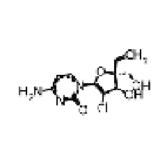 C=C[C@]1(CO)OC(n2ccc(N)nc2=O)=C(Cl)[C@@H]1O